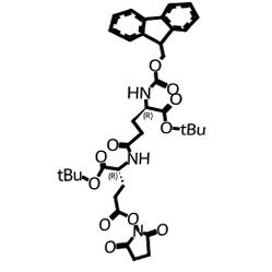 CC(C)(C)OC(=O)[C@@H](CCC(=O)ON1C(=O)CCC1=O)NC(=O)CC[C@@H](NC(=O)OCC1c2ccccc2-c2ccccc21)C(=O)OC(C)(C)C